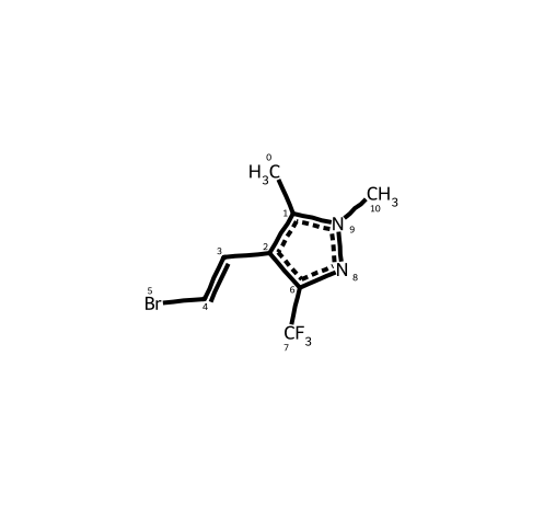 Cc1c(/C=C/Br)c(C(F)(F)F)nn1C